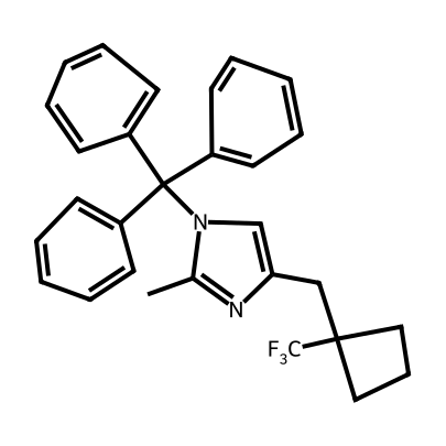 Cc1nc(CC2(C(F)(F)F)CCC2)cn1C(c1ccccc1)(c1ccccc1)c1ccccc1